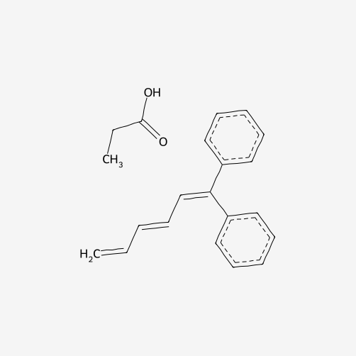 C=CC=CC=C(c1ccccc1)c1ccccc1.CCC(=O)O